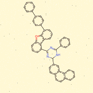 c1ccc(C2=NC(c3cccc4oc5c(-c6ccc(-c7ccccc7)cc6)cccc5c34)=NC(c3ccc4ccc5ccccc5c4c3)N2)cc1